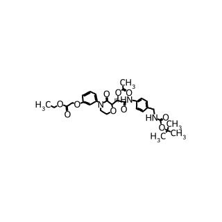 CCOC(=O)COc1cccc(N2CCOC([C@@H](OC(C)=O)C(=O)Nc3ccc(CNC(=O)OC(C)(C)C)cc3)C2=O)c1